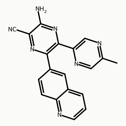 Cc1cnc(-c2nc(N)c(C#N)nc2-c2ccc3ncccc3c2)cn1